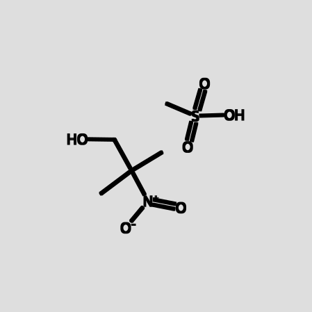 CC(C)(CO)[N+](=O)[O-].CS(=O)(=O)O